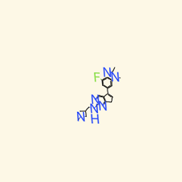 Cc1nc2c(F)cc(C3=CCc4nc(NCC5CN(C)C5)ncc43)cc2n1C